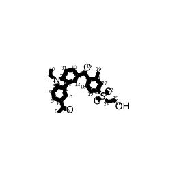 CCn1c2ccc(C(C)=O)cc2c2cc(C(=O)c3ccc(S(=O)(=O)CCO)cc3C)ccc21